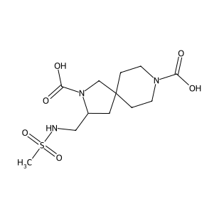 CS(=O)(=O)NCC1CC2(CCN(C(=O)O)CC2)CN1C(=O)O